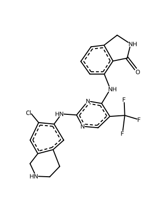 O=C1NCc2cccc(Nc3nc(Nc4cc5c(cc4Cl)CNCC5)ncc3C(F)(F)F)c21